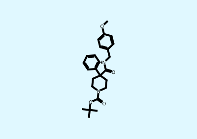 COc1ccc(CNC(=O)C2(c3ccccc3)CCN(C(=O)OC(C)(C)C)CC2)cc1